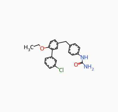 CCOc1ccc(Cc2ccc(NC(N)=O)cc2)cc1-c1cccc(Cl)c1